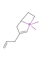 C=CCC1=CP2(C)(C)CCC2C1